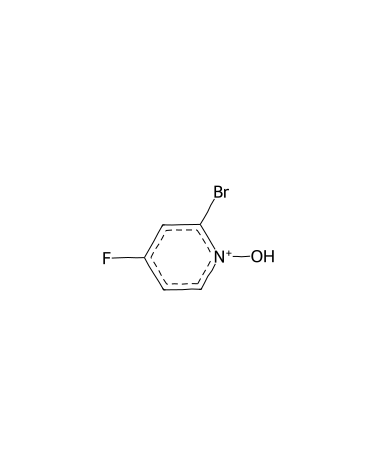 O[n+]1ccc(F)cc1Br